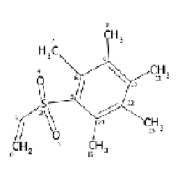 C=CS(=O)(=O)c1c(C)c(C)c(C)c(C)c1C